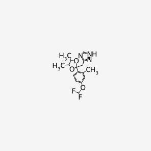 Cc1cc(OC(F)F)ccc1C1(Cc2nc[nH]n2)OC(C)C(C)O1